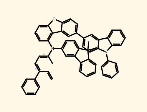 C=C/C(=C\C=C(/C)N(c1ccc2c(c1)-c1ccccc1C2(C)C)c1cccc2oc3ccc(-c4ccc5c(c4)c4ccccc4n5-c4ccccc4)cc3c12)c1ccccc1